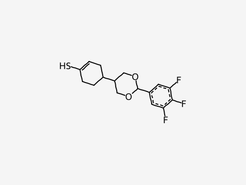 Fc1cc(C2OCC(C3CC=C(S)CC3)CO2)cc(F)c1F